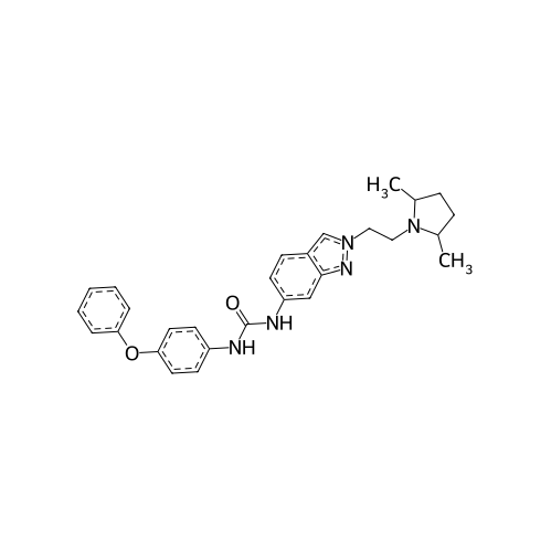 CC1CCC(C)N1CCn1cc2ccc(NC(=O)Nc3ccc(Oc4ccccc4)cc3)cc2n1